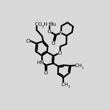 Cc1cc(C)cc(-c2c(OCCC3CCCCN3C(=O)OC(C)(C)C)c3cc(CCC(=O)O)c(Cl)cc3[nH]c2=O)c1